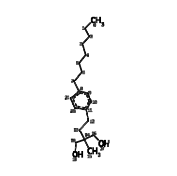 CCCCCCCCc1ccc(CCC(C)(CO)CO)cc1